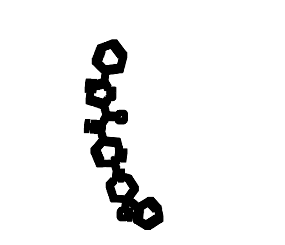 O=C(Nc1ccc(N2CCC(O)(c3ccccc3)CC2)nc1)c1cnc(-c2ccccc2)s1